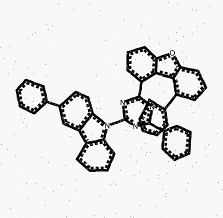 c1ccc(-c2ccc3c(c2)c2ccccc2n3-c2nc(-c3ccccc3)nc(-c3cccc4oc5cccc(-c6ccccc6)c5c34)n2)cc1